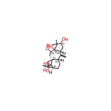 C=C1[C@H]2C[C@H](O)C(C)(C)[C@@]2(O)[C@H](O)C[C@]23C[C@@](C)(O)[C@H](CC[C@@H]12)[C@H]3O